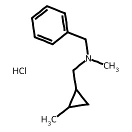 CC1CC1CN(C)Cc1ccccc1.Cl